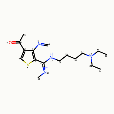 C=Nc1c(C(C)=O)csc1/C(=N\C)NCCCCN(CC)CC